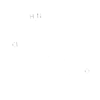 Cc1cc2c(c(Cl)c1N)CCCC2=O